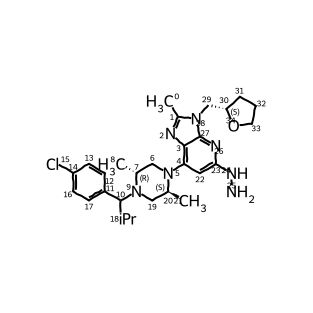 Cc1nc2c(N3C[C@@H](C)N(C(c4ccc(Cl)cc4)C(C)C)C[C@@H]3C)cc(NN)nc2n1C[C@@H]1CCCO1